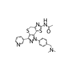 CC(=O)Nc1nc2c(s1)-c1c(c(-c3cccnc3)nn1-c1ccc(CN(C)C)cc1)SC2